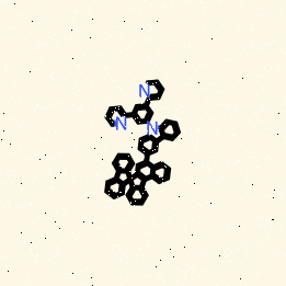 c1ccc(-c2cc(-c3ccccn3)cc(-n3c4ccccc4c4cc(-c5cc6c(c7ccccc57)-c5ccccc5C65c6ccccc6-c6ccccc65)ccc43)c2)nc1